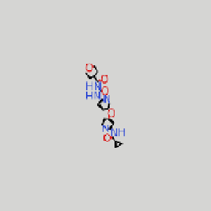 O=C(NC(=O)C1CCOCC1)Nc1ccc(Oc2ccnc(NC(=O)C3CC3)c2)cn1